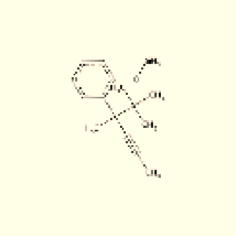 CC#CC(C)(c1ccccc1O[SiH3])C(C)(C)C